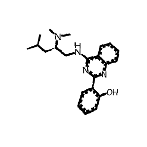 CC(C)C[C@H](CNc1nc(-c2ccccc2O)nc2ccccc12)N(C)C